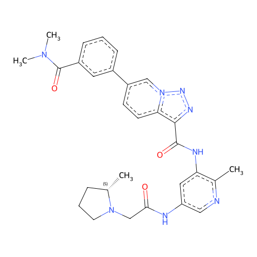 Cc1ncc(NC(=O)CN2CCC[C@@H]2C)cc1NC(=O)c1nnn2cc(-c3cccc(C(=O)N(C)C)c3)ccc12